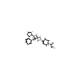 CC(C)c1ccccc1[C@@H]1CCCN1C1CC2(C1)CN(c1ccc(C(N)=O)cc1)C2